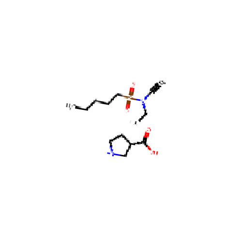 C#CN(CC)S(=O)(=O)CCCCC.O=C(O)C1CCNC1